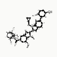 COc1cc(C(=O)N2C[C@H]3CC[C@@H]2[C@@H]3N)cc2nc(-c3cc4ccc(-c5cc(O)ccc5F)nc4n3CC3CC3)n(C)c12